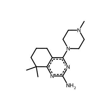 CN1CCN(c2nc(N)nc3c2CCCC3(C)C)CC1